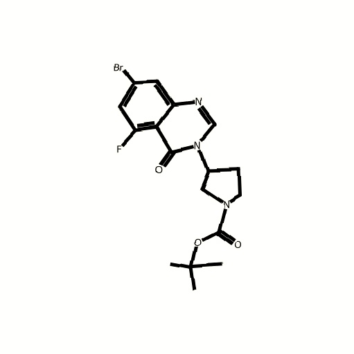 CC(C)(C)OC(=O)N1CCC(n2cnc3cc(Br)cc(F)c3c2=O)C1